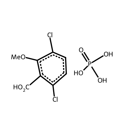 COc1c(Cl)ccc(Cl)c1C(=O)O.O=P(O)(O)O